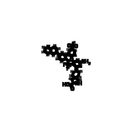 CS(=O)(=O)c1cccc(-c2cc(-c3ccc4ncccc4c3)ccc2[C@@H](Oc2cc(N3CCC4(CC3)CNC(C(=O)O)C4)nc(N)n2)C(F)(F)F)c1